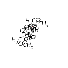 Cc1cccc(C)c1C1=CC(N(c2ccc(-c3c(C)cccc3C)cc2)c2c(F)cccc2F)=CC(Nc2ccc(-c3c(C)cccc3C)cc2)(c2c(F)cccc2F)C1